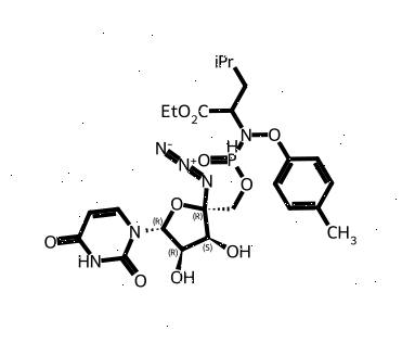 CCOC(=O)C(CC(C)C)N(Oc1ccc(C)cc1)[PH](=O)OC[C@@]1(N=[N+]=[N-])O[C@@H](n2ccc(=O)[nH]c2=O)[C@H](O)[C@@H]1O